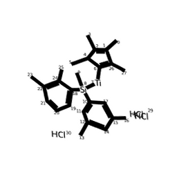 CC1=C(C)C(C)[C]([Ti][Si](C)(c2cc(C)cc(C)c2)c2cccc(C)c2C)=C1C.Cl.Cl.Cl